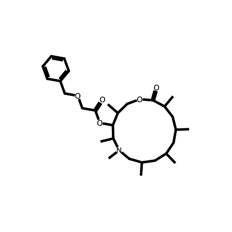 CC1CC(C)CC(C)C(=O)OCC(C)C(OC(=O)COCc2ccccc2)C(C)N(C)CC(C)C1